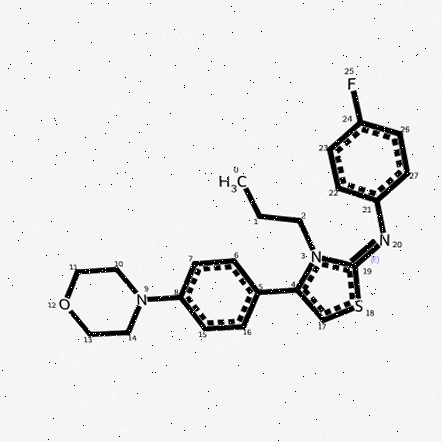 CCCn1c(-c2ccc(N3CCOCC3)cc2)cs/c1=N/c1ccc(F)cc1